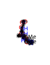 CC[C@H](C)[C@@H]([C@@H](CC(=O)N1CCC[C@H]1[C@H](OC)[C@@H](C)C(=O)N[C@@H](Cc1ccccc1)C(=O)Nc1ccc(CNC(=O)CCCCCN2C(=O)C=CC2=O)cc1)OC)N(C)C(=O)[C@@H](N=C1N(C)CCN1C)C(C)C